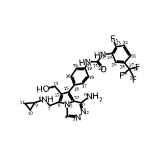 Nc1nncn2c(CNC3CC3)c(CO)c(-c3ccc(NC(=O)Nc4cc(C(F)(F)F)ccc4F)cc3)c12